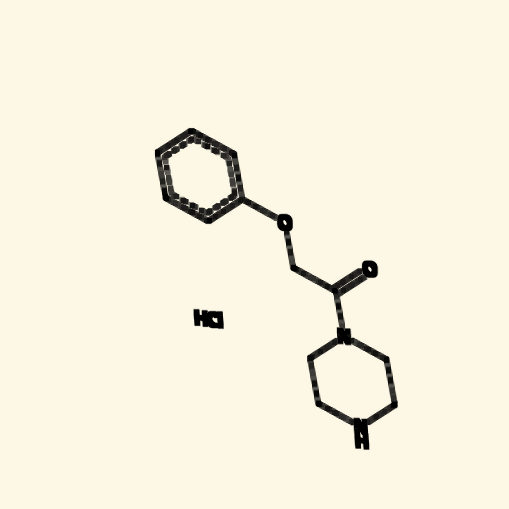 Cl.O=C(COc1ccccc1)N1CCNCC1